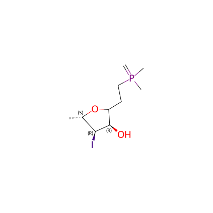 C=P(C)(C)CCC1O[C@@H](C)[C@H](I)[C@@H]1O